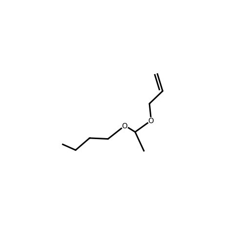 C=CCOC(C)OCCCC